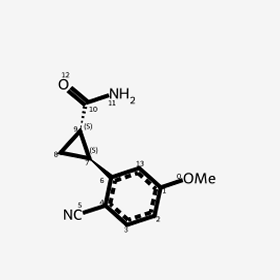 COc1ccc(C#N)c([C@H]2C[C@@H]2C(N)=O)c1